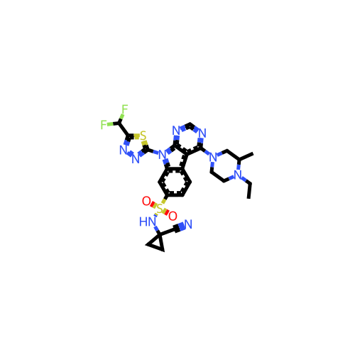 CCN1CCN(c2ncnc3c2c2ccc(S(=O)(=O)NC4(C#N)CC4)cc2n3-c2nnc(C(F)F)s2)CC1C